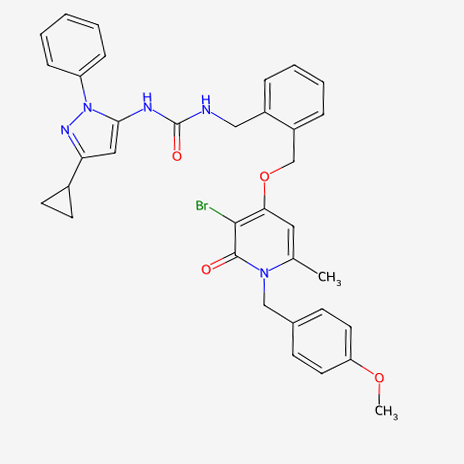 COc1ccc(Cn2c(C)cc(OCc3ccccc3CNC(=O)Nc3cc(C4CC4)nn3-c3ccccc3)c(Br)c2=O)cc1